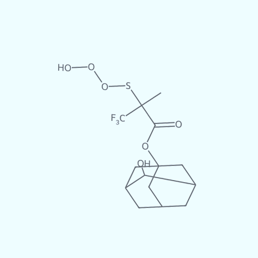 CC(SOOO)(C(=O)OC12CC3CC(C1)C(O)C(C3)C2)C(F)(F)F